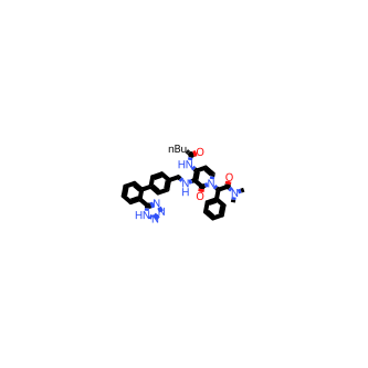 CCCCC(=O)Nc1ccn(C(C(=O)N(C)C)c2ccccc2)c(=O)c1NCc1ccc(-c2ccccc2-c2nnn[nH]2)cc1